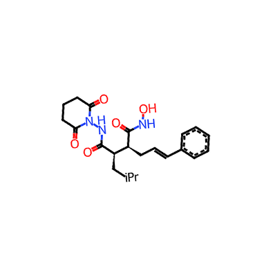 CC(C)C[C@@H](C(=O)NN1C(=O)CCCC1=O)[C@H](C/C=C/c1ccccc1)C(=O)NO